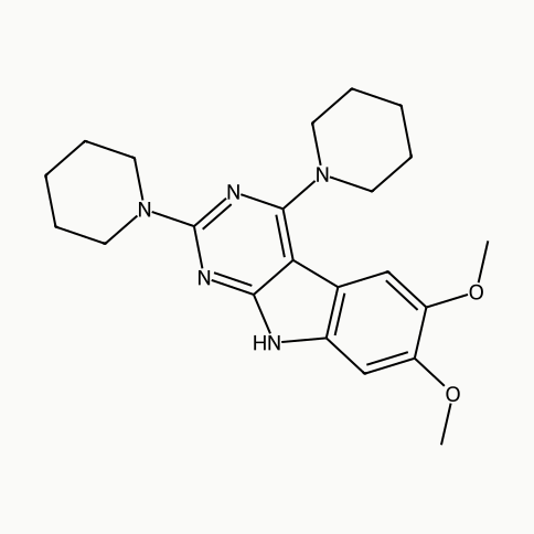 COc1cc2[nH]c3nc(N4CCCCC4)nc(N4CCCCC4)c3c2cc1OC